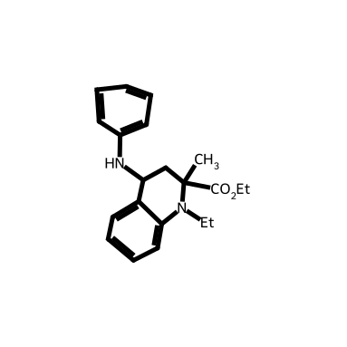 CCOC(=O)C1(C)CC(Nc2ccccc2)c2ccccc2N1CC